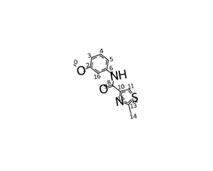 COc1cccc(NC(=O)c2csc(C)n2)c1